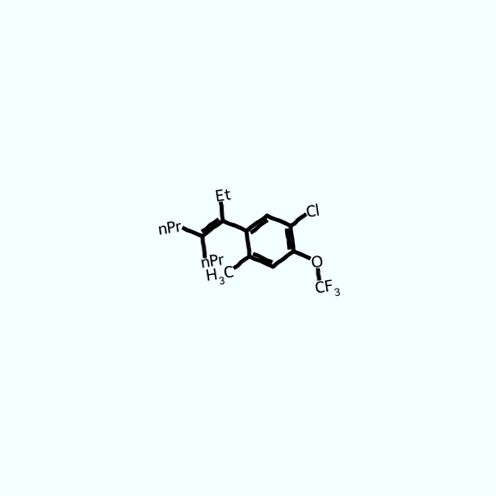 CCCC(CCC)=C(CC)c1cc(Cl)c(OC(F)(F)F)cc1C